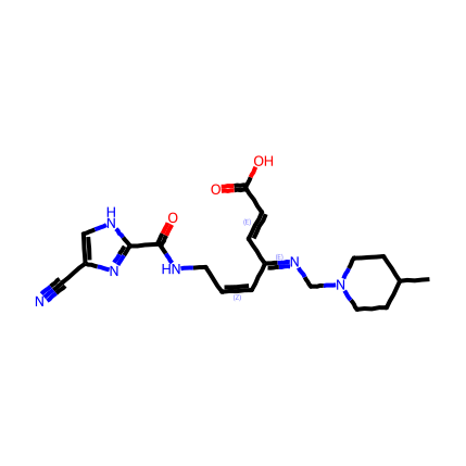 CC1CCN(C/N=C(\C=C/CNC(=O)c2nc(C#N)c[nH]2)/C=C/C(=O)O)CC1